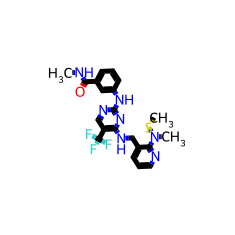 CNC(=O)c1cccc(Nc2ncc(C(F)(F)F)c(NCc3cccnc3N(C)SC)n2)c1